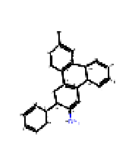 CC1=CC2=C(CC1)C1=C(C=C(N)C(C3C=CC=CC3)C1)C1C=CC=CC21